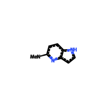 CNc1ccc2[nH]ccc2n1